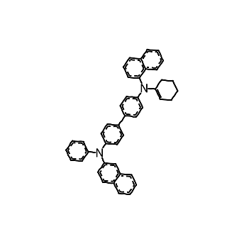 C1=C(N(c2ccc(-c3ccc(N(c4ccccc4)c4ccc5ccccc5c4)cc3)cc2)c2cccc3ccccc23)CCCC1